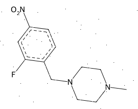 CN1CCN(Cc2ccc([N+](=O)[O-])cc2F)CC1